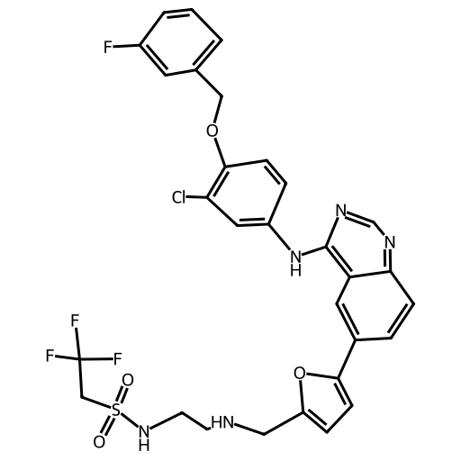 O=S(=O)(CC(F)(F)F)NCCNCc1ccc(-c2ccc3ncnc(Nc4ccc(OCc5cccc(F)c5)c(Cl)c4)c3c2)o1